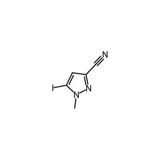 Cn1nc(C#N)cc1I